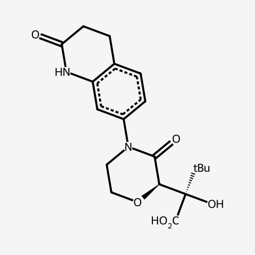 CC(C)(C)[C@](O)(C(=O)O)[C@H]1OCCN(c2ccc3c(c2)NC(=O)CC3)C1=O